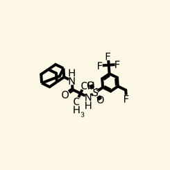 CC(C)(NS(=O)(=O)c1cc(CF)cc(C(F)(F)F)c1)C(=O)NC1C2CC3CC(C2)CC1C3